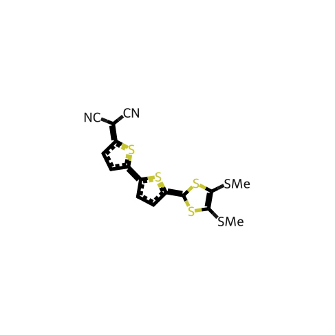 CSC1=C(SC)SC(=c2ccc(=c3ccc(=C(C#N)C#N)s3)s2)S1